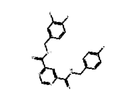 O=C(NCc1ccc(F)cc1)c1cc(C(=O)NCc2ccc(F)c(F)c2)ncn1